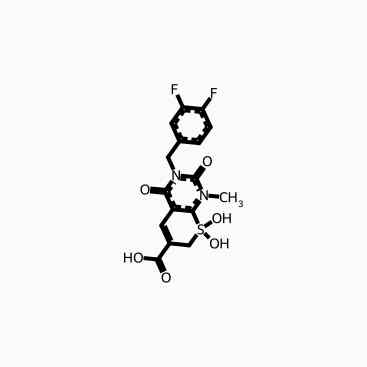 Cn1c2c(c(=O)n(Cc3ccc(F)c(F)c3)c1=O)C=C(C(=O)O)CS2(O)O